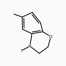 Cc1ccc2c(c1)N(I)CCO2